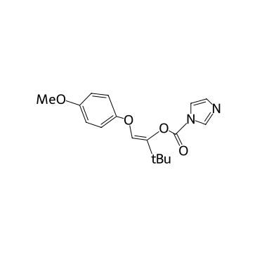 COc1ccc(OC=C(OC(=O)n2ccnc2)C(C)(C)C)cc1